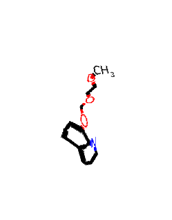 COCCOCOc1cccc2cccnc12